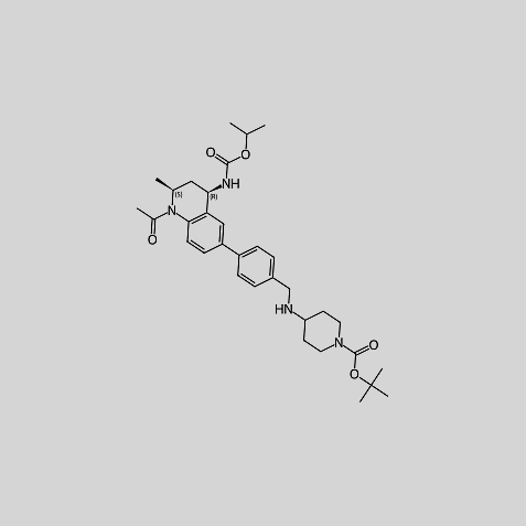 CC(=O)N1c2ccc(-c3ccc(CNC4CCN(C(=O)OC(C)(C)C)CC4)cc3)cc2[C@H](NC(=O)OC(C)C)C[C@@H]1C